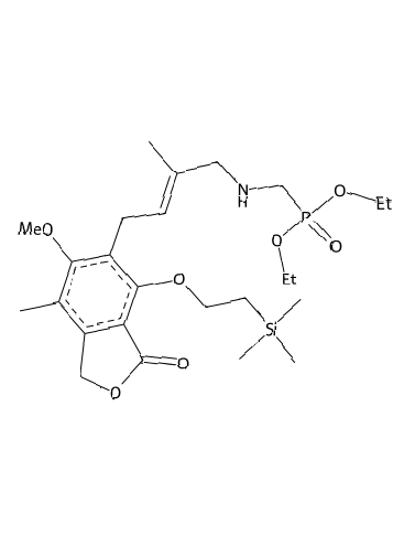 CCOP(=O)(CNC/C(C)=C/Cc1c(OC)c(C)c2c(c1OCC[Si](C)(C)C)C(=O)OC2)OCC